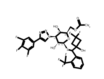 CC(=O)OC[C@H]1O[C@@H](SC(c2ccccc2C(F)(F)F)C2(O)CC(F)(F)C2)[C@H](O)[C@@H](n2cc(-c3cc(F)c(F)c(F)c3)nn2)[C@H]1O